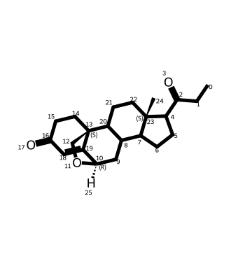 CCC(=O)C1CCC2C3C[C@H]4OC[C@@]5(CCC(=O)C=C45)C3CC[C@]12C